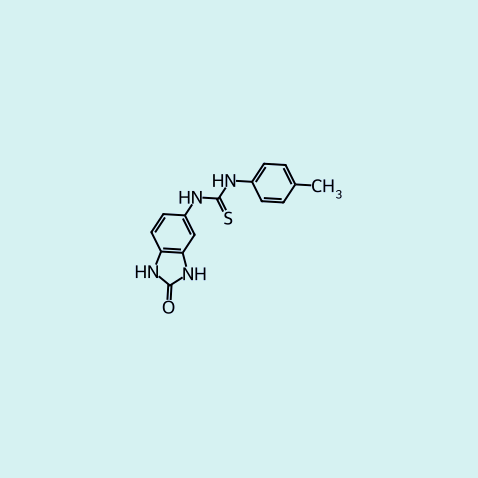 Cc1ccc(NC(=S)Nc2ccc3[nH]c(=O)[nH]c3c2)cc1